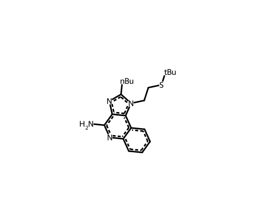 CCCCc1nc2c(N)nc3ccccc3c2n1CCSC(C)(C)C